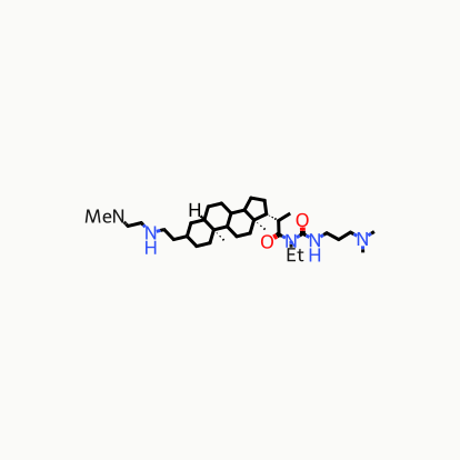 CCN(C(=O)NCCCN(C)C)C(=O)C(C)[C@H]1CCC2C3CC[C@H]4CC(CCNCCNC)CC[C@]4(C)C3CC[C@@]21C